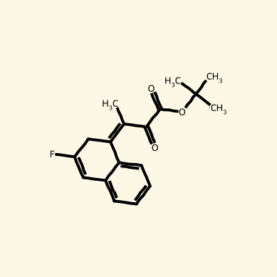 CC(C(=O)C(=O)OC(C)(C)C)=C1CC(F)=Cc2ccccc21